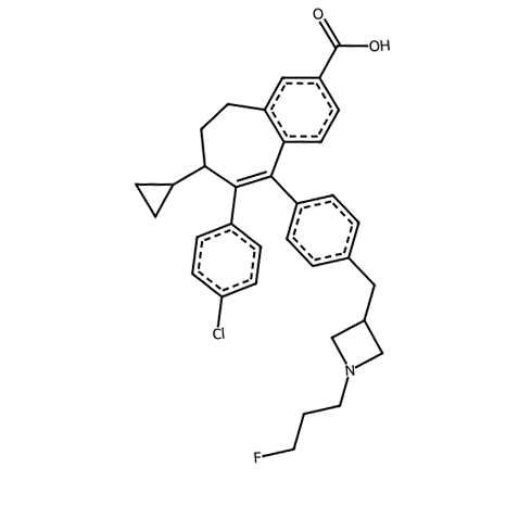 O=C(O)c1ccc2c(c1)CCC(C1CC1)C(c1ccc(Cl)cc1)=C2c1ccc(CC2CN(CCCF)C2)cc1